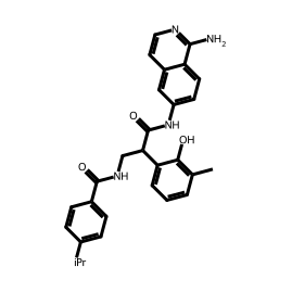 Cc1cccc(C(CNC(=O)c2ccc(C(C)C)cc2)C(=O)Nc2ccc3c(N)nccc3c2)c1O